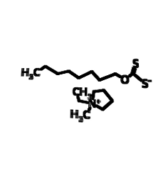 CCCCCCCCOC(=S)[S-].CC[N+]1(C)CCCC1